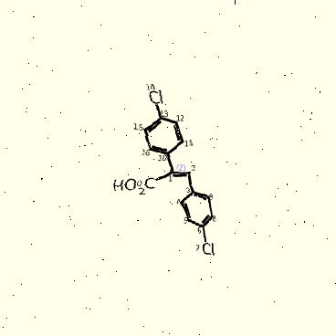 O=C(O)/C(=C\c1ccc(Cl)cc1)c1ccc(Cl)cc1